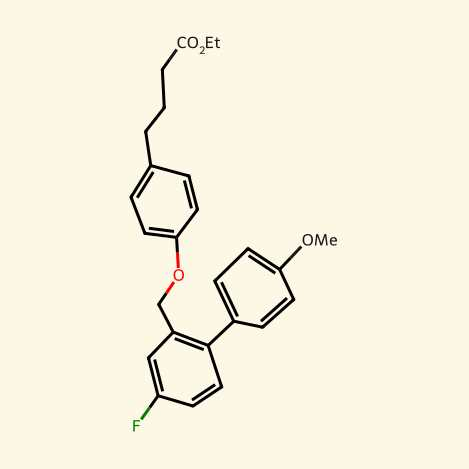 CCOC(=O)CCCc1ccc(OCc2cc(F)ccc2-c2ccc(OC)cc2)cc1